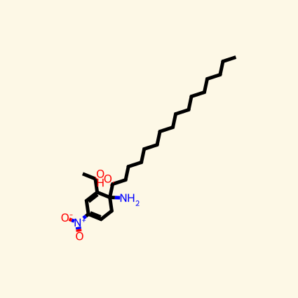 CCCCCCCCCCCCCCCC(=O)C1(N)CC=C([N+](=O)[O-])C=C1C(C)O